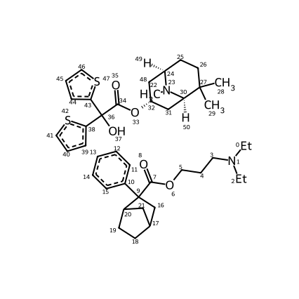 CCN(CC)CCCOC(=O)C1(c2ccccc2)CC2CCC1C2.CN1[C@@H]2CCC(C)(C)[C@H]1C[C@H](OC(=O)C(O)(c1cccs1)c1cccs1)C2